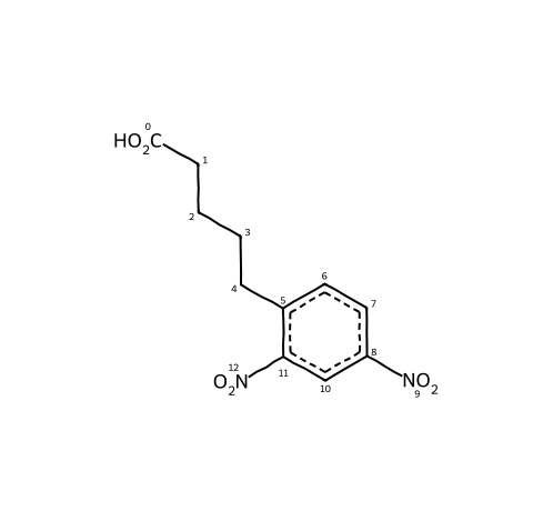 O=C(O)CCCCc1ccc([N+](=O)[O-])cc1[N+](=O)[O-]